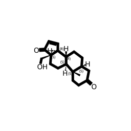 C[C@]12CCC(=O)C[C@@H]1CC[C@H]1[C@@H]3C=CC(=O)[C@@]3(CO)CC[C@@H]12